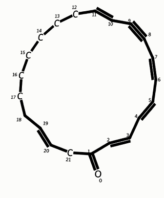 O=C1/C=C/C=C/C=C\C#C/C=C/CCCCCCC/C=C/C1